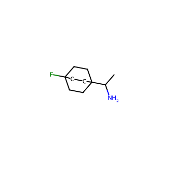 CC(N)C12CCC(F)(CC1)CC2